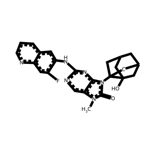 Cn1c(=O)n(C23CC4CC(CC2(O)C4)C3)c2nc(Nc3cc4cccnc4cc3F)ncc21